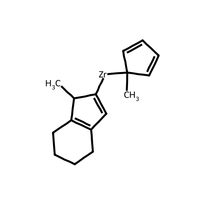 CC1[C]([Zr][C]2(C)C=CC=C2)=CC2=C1CCCC2